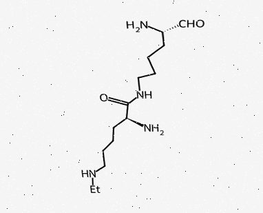 CCNCCCC[C@H](N)C(=O)NCCCC[C@H](N)C=O